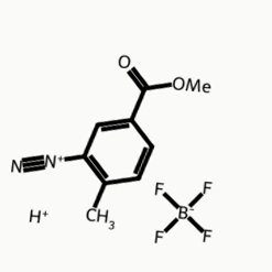 COC(=O)c1ccc(C)c([N+]#N)c1.F[B-](F)(F)F.[H+]